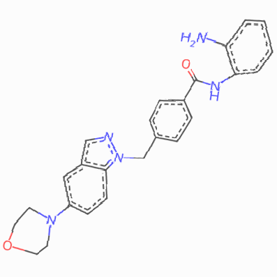 Nc1ccccc1NC(=O)c1ccc(Cn2ncc3cc(N4CCOCC4)ccc32)cc1